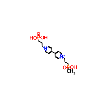 CP(=O)(O)CCC[n+]1ccc(-c2cc[n+](CCCP(=O)(O)O)cc2)cc1